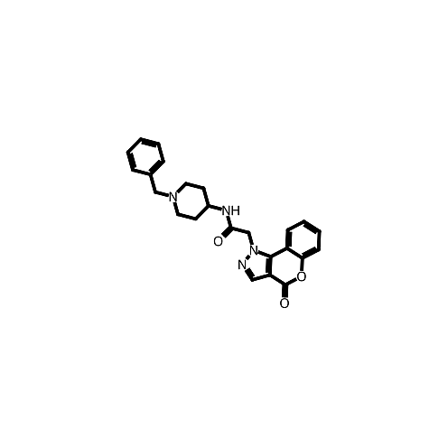 O=C(Cn1ncc2c(=O)oc3ccccc3c21)NC1CCN(Cc2ccccc2)CC1